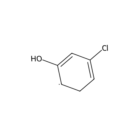 OC1=CC(Cl)=CC[CH]1